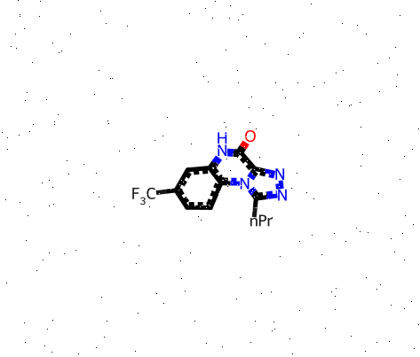 CCCc1nnc2c(=O)[nH]c3cc(C(F)(F)F)ccc3n12